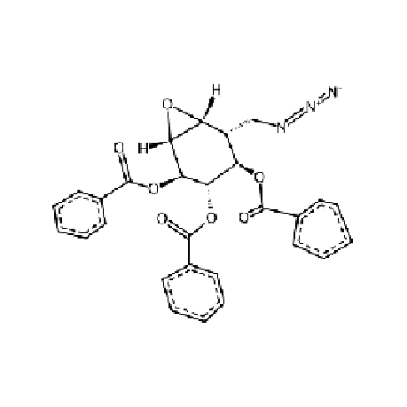 [N-]=[N+]=NC[C@@H]1[C@@H](OC(=O)c2ccccc2)[C@H](OC(=O)c2ccccc2)[C@@H](OC(=O)c2ccccc2)[C@@H]2O[C@H]12